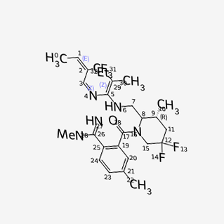 C\C=C(/C=N\C(NCC1[C@H](C)CC(F)(F)CN1C(=O)c1cc(C)ccc1C(=N)NC)=C(\C)CC)C(F)(F)F